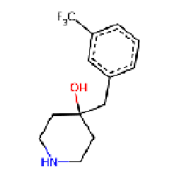 OC1(Cc2cccc(C(F)(F)F)c2)CCNCC1